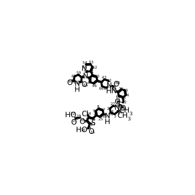 CC1(C)C[C@@H](Nc2cccc(-c3sc(C(=O)O)c(OCC(=O)O)c3Cl)c2)CCN1S(=O)(=O)Cc1cccc(NC(=O)N2CCC(c3ccc4c(c3)c3cccnc3n4C3CCC(=O)NC3=O)CC2)c1